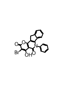 O=c1oc2c3c(n(-c4ccccc4)c(=O)c2c(O)c1Br)-c1ccccc1C3